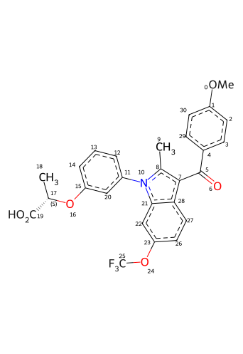 COc1ccc(C(=O)c2c(C)n(-c3cccc(O[C@@H](C)C(=O)O)c3)c3cc(OC(F)(F)F)ccc23)cc1